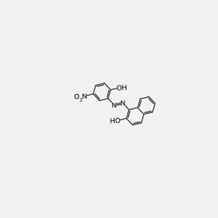 O=[N+]([O-])c1ccc(O)c(N=Nc2c(O)ccc3ccccc23)c1